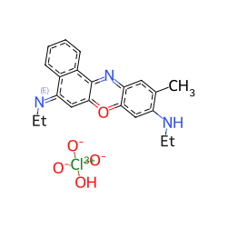 CC/N=c1\cc2oc3cc(NCC)c(C)cc3nc-2c2ccccc12.[O-][Cl+3]([O-])([O-])O